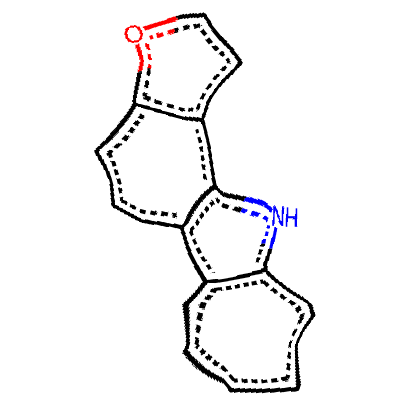 c1ccc2c(c1)[nH]c1c3ccoc3ccc21